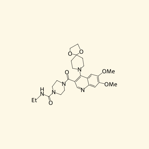 CCNC(=O)N1CCN(C(=O)c2cnc3cc(OC)c(OC)cc3c2N2CCC3(CC2)OCCO3)CC1